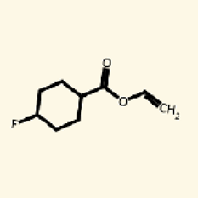 C=COC(=O)C1CCC(F)CC1